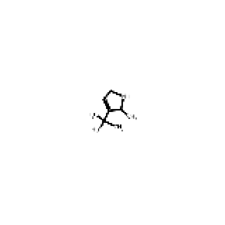 CC1NCC=C1C(C)(C)C